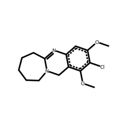 COc1cc2c(c(OC)c1Cl)CN1CCCCCC1=N2